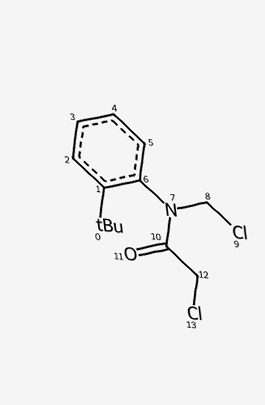 CC(C)(C)c1ccccc1N(CCl)C(=O)CCl